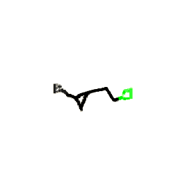 CCC1CC1CCCl